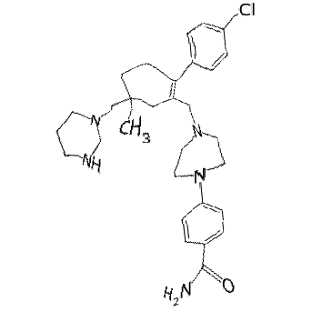 CC1(CN2CCCNC2)CCC(c2ccc(Cl)cc2)=C(CN2CCN(c3ccc(C(N)=O)cc3)CC2)C1